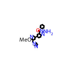 COc1ncc(-c2ccc3nc(N)n(-c4ccccc4)c(=O)c3c2)cc1Cn1ccnc1